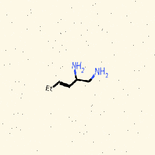 CC/C=C/C(N)CN